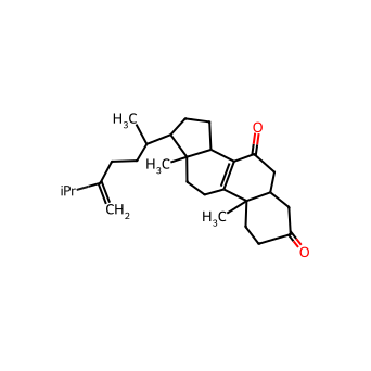 C=C(CCC(C)C1CCC2C3=C(CCC21C)C1(C)CCC(=O)CC1CC3=O)C(C)C